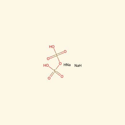 O=S(=O)(O)OS(=O)(=O)O.[NaH].[NaH]